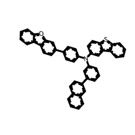 c1cc(-c2ccc3ccccc3c2)cc(N(c2ccc(-c3ccc4c(c3)oc3ccccc34)cc2)c2ccc3sc4ccccc4c3c2)c1